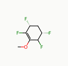 COC1=C(F)[C@H](F)C[C@H](F)C1F